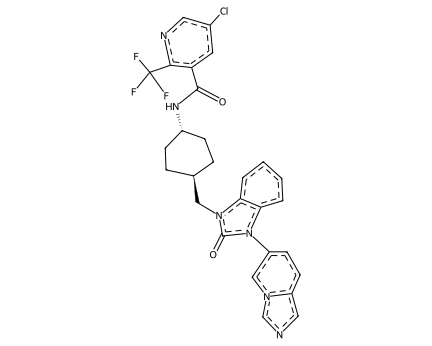 O=C(N[C@H]1CC[C@H](Cn2c(=O)n(-c3ccc4cncn4c3)c3ccccc32)CC1)c1cc(Cl)cnc1C(F)(F)F